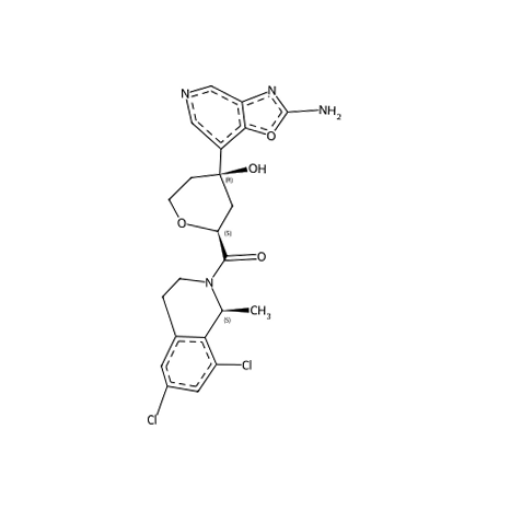 C[C@H]1c2c(Cl)cc(Cl)cc2CCN1C(=O)[C@@H]1C[C@@](O)(c2cncc3nc(N)oc23)CCO1